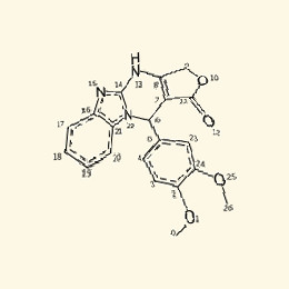 COc1ccc(C2C3=C(COC3=O)Nc3nc4ccccc4n32)cc1OC